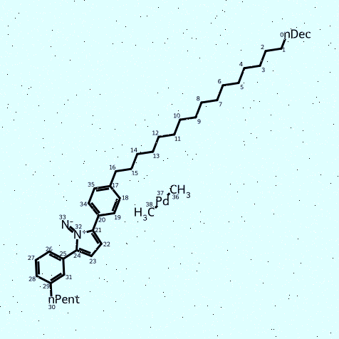 CCCCCCCCCCCCCCCCCCCCCCCCCCc1ccc(C2=CC=C(c3cccc(CCCCC)c3)[N+]2=[N-])cc1.[CH3][Pd][CH3]